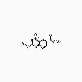 COC(=O)c1ccc2nc(OC(C)C)c[n+]([O-])c2c1